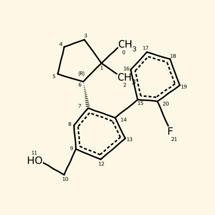 CC1(C)CCC[C@H]1c1cc(CO)ccc1-c1ccccc1F